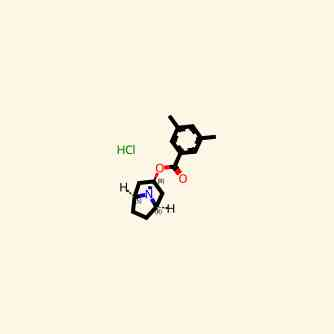 Cc1cc(C)cc(C(=O)O[C@H]2C[C@H]3CC[C@@H](C2)N3C)c1.Cl